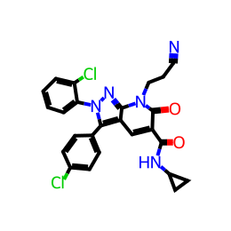 N#CCCn1c(=O)c(C(=O)NC2CC2)cc2c(-c3ccc(Cl)cc3)n(-c3ccccc3Cl)nc21